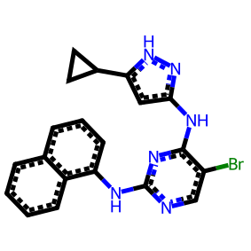 Brc1cnc(Nc2cccc3ccccc23)nc1Nc1cc(C2CC2)[nH]n1